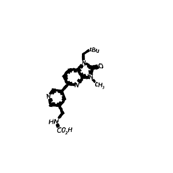 Cn1c(=O)n(CC(C)(C)C)c2ccc(-c3cncc(CNC(=O)O)c3)nc21